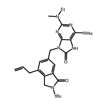 C=CCc1cc(Cn2c(=O)[nH]c3c(NC)nc(N(C)CC)nc32)cc2c1CN(C(C)(C)C)C2=O